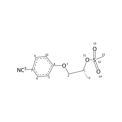 C[C@H](COc1ccc(C#N)cc1)OS(C)(=O)=O